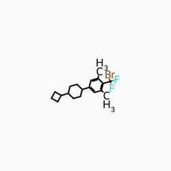 Cc1cc(C2CCC(C3CCC3)CC2)cc(C)c1C(F)(F)Br